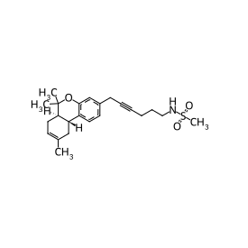 CC1=CC[C@@H]2[C@@H](C1)c1ccc(CC#CCCCNS(C)(=O)=O)cc1OC2(C)C